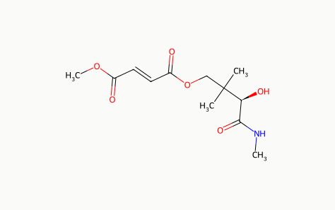 CNC(=O)[C@H](O)C(C)(C)COC(=O)/C=C/C(=O)OC